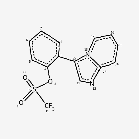 O=S(=O)(Oc1ccccc1-c1cnc2ccccn12)C(F)(F)F